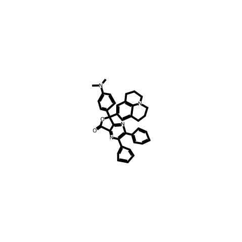 CN(C)c1ccc(C2(c3cc4c5c(c3)CCCN5CCC4)OC(=O)c3nc(-c4ccccc4)c(-c4ccccc4)nc32)cc1